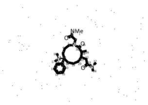 CNC(=O)CN1CCC[C@](c2ccccc2)(N(C)C)CCCC(CC(=O)N(C)C)C(C)C1=O